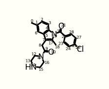 Cc1ccc2c(c1)c(CC(=O)N1CCNCC1)c(C)n2C(=O)c1ccc(Cl)cc1